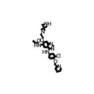 C=CC(=O)Nc1cc2c(Nc3ccc(OCc4ccccn4)c(Cl)c3)ncnc2cc1OCCN1CC2(CNC2)C1